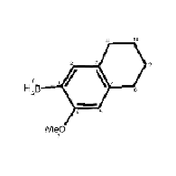 Bc1cc2c(cc1OC)CCCC2